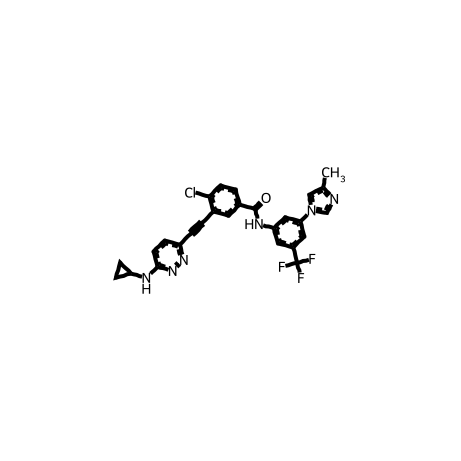 Cc1cn(-c2cc(NC(=O)c3ccc(Cl)c(C#Cc4ccc(NC5CC5)nn4)c3)cc(C(F)(F)F)c2)cn1